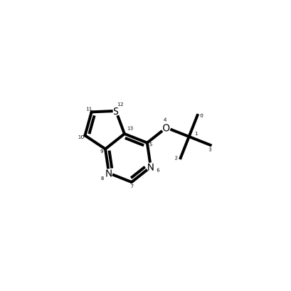 CC(C)(C)Oc1ncnc2ccsc12